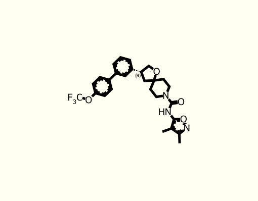 Cc1noc(NC(=O)N2CCC3(CC2)C[C@H](c2cccc(-c4ccc(OC(F)(F)F)cc4)c2)CO3)c1C